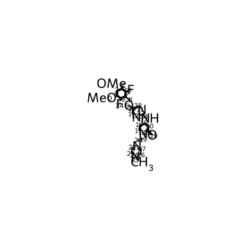 COc1cc(OC)c(F)c(COc2cnc(Nc3ccn(CCN4CCN(C)CC4)c(=O)c3)nc2)c1F